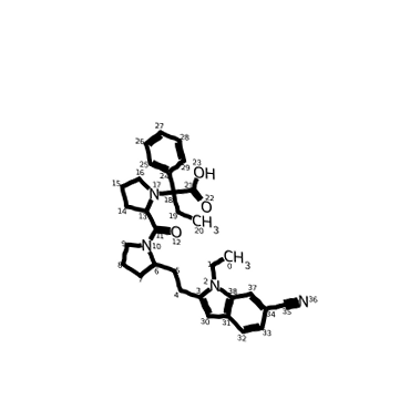 CCn1c(CCC2CCCN2C(=O)C2CCCN2C(CC)(C(=O)O)c2ccccc2)cc2ccc(C#N)cc21